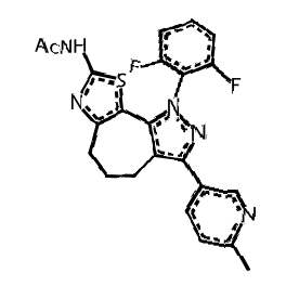 CC(=O)Nc1nc2c(s1)-c1c(c(-c3ccc(C)nc3)nn1-c1c(F)cccc1F)CCC2